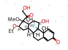 CCO[C@@H]1C[C@H]2[C@@H]3CCC4=CC(=O)C=CC4(C)[C@@]3(F)[C@@H](O)C[C@]2(C)[C@@]1(OC)C(=O)CO